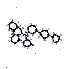 c1ccc(-c2ccc(-c3cccc(N(c4ccccc4)c4cc5ccccc5c5ccccc45)c3)cc2)cc1